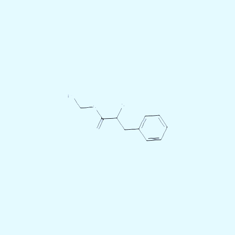 CC(C)CNC(=O)C(N)Cc1ccccc1